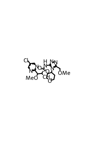 COCc1nnc(NS(=O)(=O)C(C)C(OC)c2ncc(Cl)cn2)n1C1CCOCC1